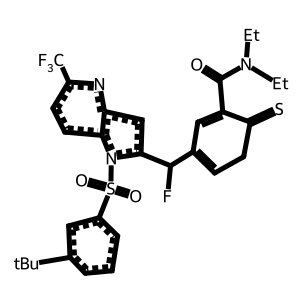 CCN(CC)C(=O)C1=CC(C(F)c2cc3nc(C(F)(F)F)ccc3n2S(=O)(=O)c2cccc(C(C)(C)C)c2)=CCC1=S